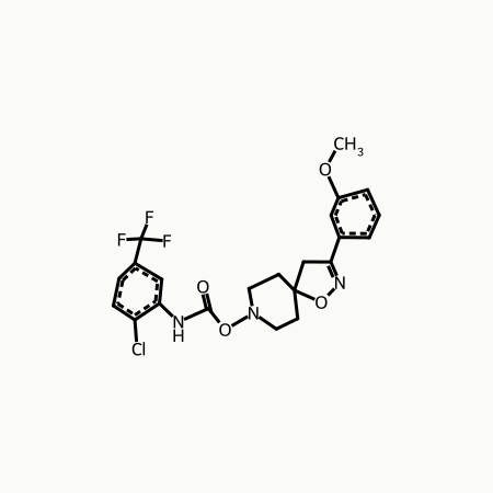 COc1cccc(C2=NOC3(CCN(OC(=O)Nc4cc(C(F)(F)F)ccc4Cl)CC3)C2)c1